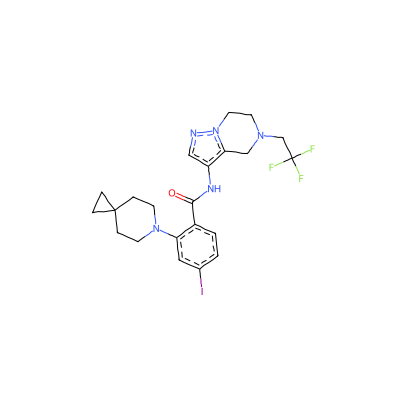 O=C(Nc1cnn2c1CN(CC(F)(F)F)CC2)c1ccc(I)cc1N1CCC2(CC1)CC2